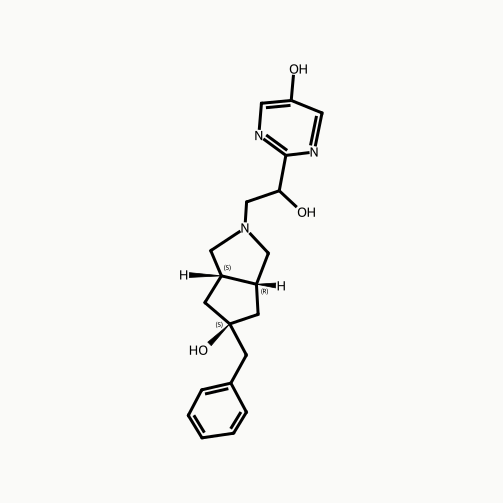 Oc1cnc(C(O)CN2C[C@@H]3C[C@](O)(Cc4ccccc4)C[C@@H]3C2)nc1